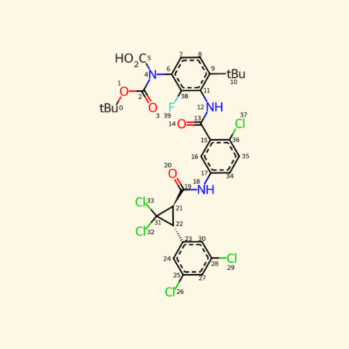 CC(C)(C)OC(=O)N(C(=O)O)c1ccc(C(C)(C)C)c(NC(=O)c2cc(NC(=O)[C@H]3[C@H](c4cc(Cl)cc(Cl)c4)C3(Cl)Cl)ccc2Cl)c1F